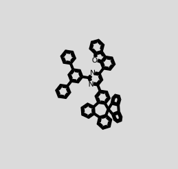 c1ccc(-c2cc(-c3ccccc3)cc(-c3nc(-c4ccc5c(c4)-c4ccccc4-c4ccccc4C54c5ccccc5-c5ccccc54)cc(-c4cccc5c4oc4ccccc45)n3)c2)cc1